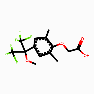 COC(c1cc(C)c(OCC(=O)O)c(C)c1)(C(F)(F)F)C(F)(F)F